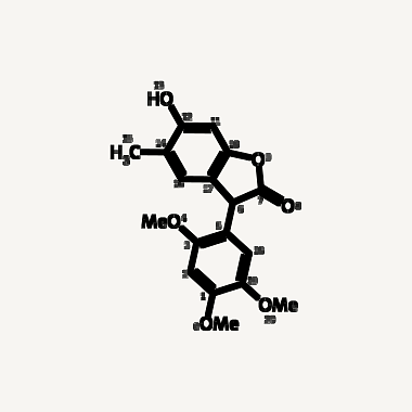 COc1cc(OC)c(C2C(=O)Oc3cc(O)c(C)cc32)cc1OC